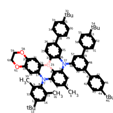 Cc1cc2c3c(c1)N(c1c(C)cc(C(C)(C)C)cc1C)c1cc4c(cc1B3c1ccc(-c3ccc(C(C)(C)C)cc3)cc1N2c1cc(-c2ccc(C(C)(C)C)cc2)cc(-c2ccc(C(C)(C)C)cc2)c1)OCCO4